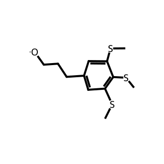 CSc1cc(CCC[O])cc(SC)c1SC